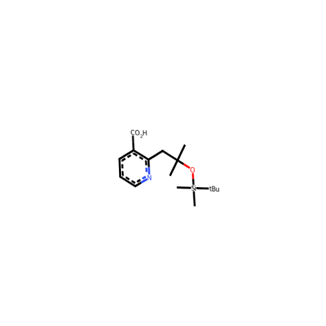 CC(C)(Cc1ncccc1C(=O)O)O[Si](C)(C)C(C)(C)C